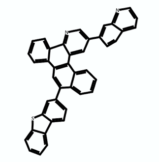 c1cnc2cc(-c3cnc4c5ccccc5c5cc(-c6ccc7c(c6)sc6ccccc67)c6ccccc6c5c4c3)ccc2c1